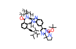 [2H]C([2H])([2H])N1C(=O)c2cccc(C#C[Si](C(C)C)(C(C)C)C(C)C)c2[C@H]2C[C@@H]1c1nc3ccc(-c4cnc(C5(C)CCCN5C(=O)OC(C)(C)C)nc4)cc3n12